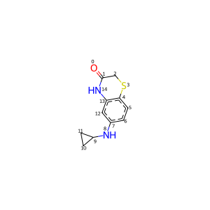 O=C1CSc2ccc(NC3CC3)cc2N1